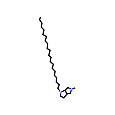 CCCCCCCCCCCCCCCCCCCCCCN1CCC2CN(C)CC21